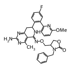 COc1cccc(-c2cc(F)ccc2C2Cc3nc(N)nc(C)c3C(=NOCC3COC(=O)N3Cc3ccccc3)N2)n1